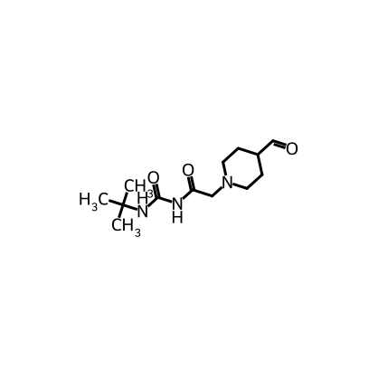 CC(C)(C)NC(=O)NC(=O)CN1CCC(C=O)CC1